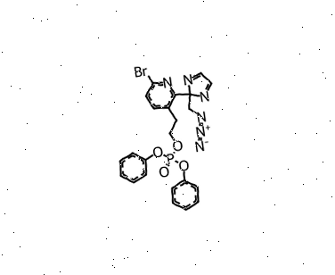 [N-]=[N+]=NCC1(c2nc(Br)ccc2CCOP(=O)(Oc2ccccc2)Oc2ccccc2)N=CC=N1